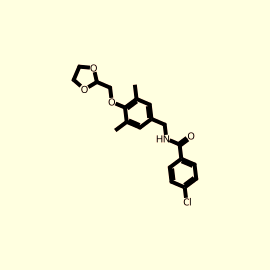 Cc1cc(CNC(=O)c2ccc(Cl)cc2)cc(C)c1OCC1OCCO1